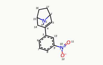 CN1C2C=C(c3cccc([N+](=O)[O-])c3)CC1CC2